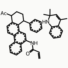 C=CC(=O)Nc1cc2c3c(ccc2c2ccccc12)C(C(C)=O)CCC3c1ccccc1.CC1=CC(C)(C)Nc2ccccc21